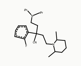 CC(C)N(CCC(C#N)(CCN1C(C)CCCC1C)c1ccccc1F)C(C)C